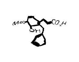 COc1ccc(C=CC(=O)O)c(Cc2ccccc2)c1O